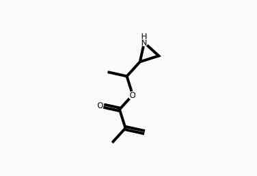 C=C(C)C(=O)OC(C)C1CN1